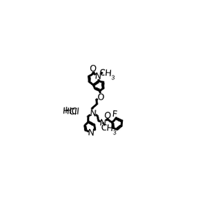 CN(CCN(CCCOc1ccc2c(ccc(=O)n2C)c1)Cc1ccncc1)C(=O)c1ccccc1F.Cl.Cl